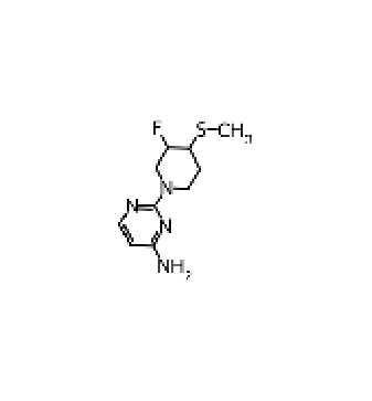 CSC1CCN(c2nccc(N)n2)CC1F